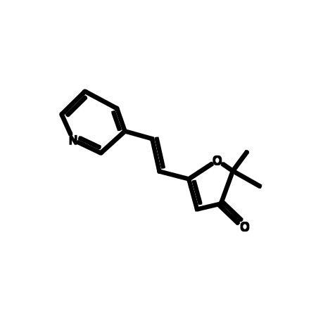 CC1(C)OC(C=Cc2cccnc2)=CC1=O